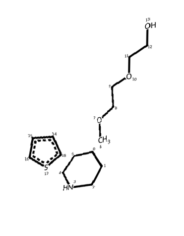 C1CCNCC1.COCCOCCO.c1ccsc1